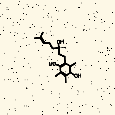 CC(C)=CCC[C@@](C)(O)CCc1c(C)c(O)c(C)c(C)c1O